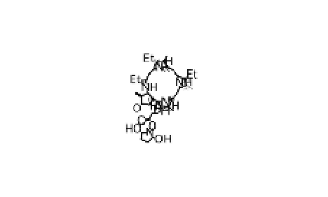 C=C1C(=O)C[C@@H]2C1N[C@H](CC)CC1=N[C@@H](CC3NC(C[C@H]4N[C@@H]2[C@@H](CCC(=O)ON2C(O)CCC2O)[C@@H]4C)[C@@H](C)[C@H]3CC)C(C)[C@H]1CC